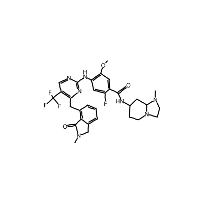 COc1cc(C(=O)NC2CCN3CCN(C)C3C2)c(F)cc1Nc1ncc(C(F)(F)F)c(Cc2cccc3c2C(=O)N(C)C3)n1